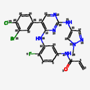 C=CC(=O)Nc1ccc(F)c(Nc2nc(Nc3cnn(C)c3)ncc2-c2ccc(Cl)c(Br)c2)c1